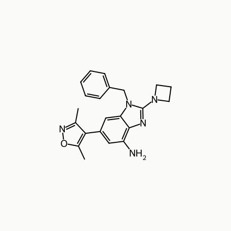 Cc1noc(C)c1-c1cc(N)c2nc(N3CCC3)n(Cc3ccccc3)c2c1